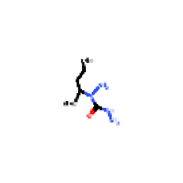 CCCCCCCCCCCC(CCCCCC)N(N)C(=O)NN